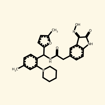 Cc1ccc(C(NC(=O)Cc2ccc3c(c2)C(=NO)C(=O)N3)c2ccc(C)o2)c(N2CCCCC2)c1